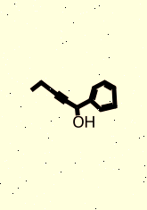 CCC#CC(O)c1ccccc1